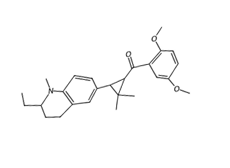 CCC1CCc2cc(C3C(C(=O)c4cc(OC)ccc4OC)C3(C)C)ccc2N1C